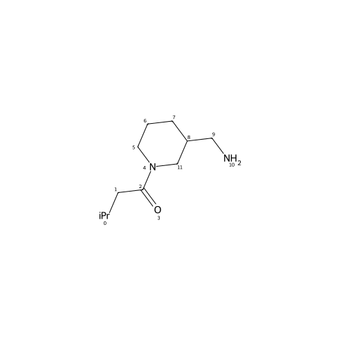 CC(C)CC(=O)N1CCCC(CN)C1